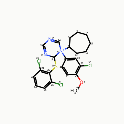 COc1ccc([N+]2(C3CCCCCC3)C=NC=NC2Sc2c(Cl)cccc2Cl)cc1Cl